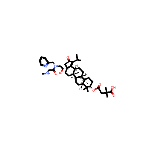 CNCC(=O)N(Cc1ccccn1)CC(O)[C@@]12CC[C@]3(C)[C@H](CC[C@@H]4[C@@]5(C)CC[C@H](OC(=O)CC(C)(C)C(=O)O)C(C)(C)[C@@H]5CC[C@]43C)C1=C(C(C)C)C(=O)C2